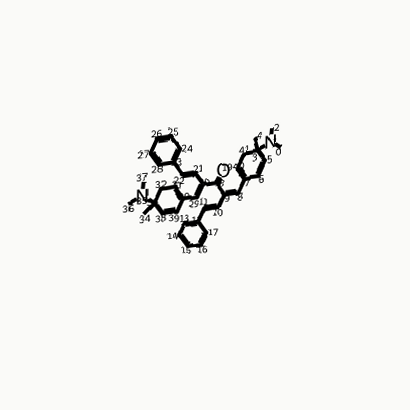 CN(C)C1(C)C=CC(C=C(C=Cc2ccccc2)C(=O)C(C=Cc2ccccc2)=CC2=CCC(C)(N(C)C)C=C2)=CC1